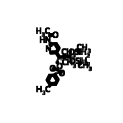 C[SiH2]OC(O[SiH2]C)C(C)(C)[C@H](COS(=O)(=O)c1ccc(C)cc1)c1ccc(NC(C)=O)nc1